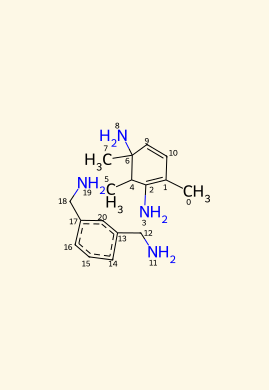 CC1=C(N)C(C)C(C)(N)C=C1.NCc1cccc(CN)c1